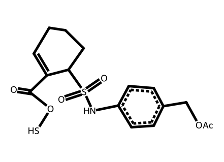 CC(=O)OCc1ccc(NS(=O)(=O)C2CCCC=C2C(=O)OS)cc1